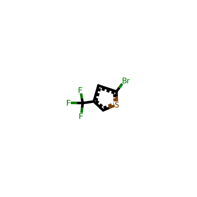 FC(F)(F)c1csc(Br)c1